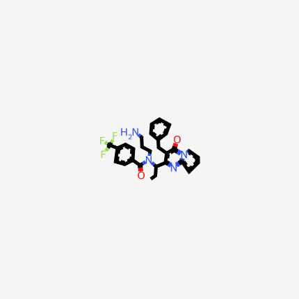 CCC(c1nc2ccccn2c(=O)c1Cc1ccccc1)N(CCCN)C(=O)c1ccc(C(F)(F)F)cc1